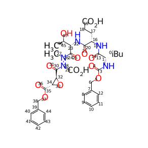 CC[C@H](C)[C@H](NC(=O)OCc1ccccc1)C(=O)N[C@@H](CCC(=O)O)C(=O)N[C@H](C(=O)N(C)N(C(=O)O)C(=O)[C@H]1O[C@@H]1C(=O)OCc1ccccc1)[C@@H](C)O